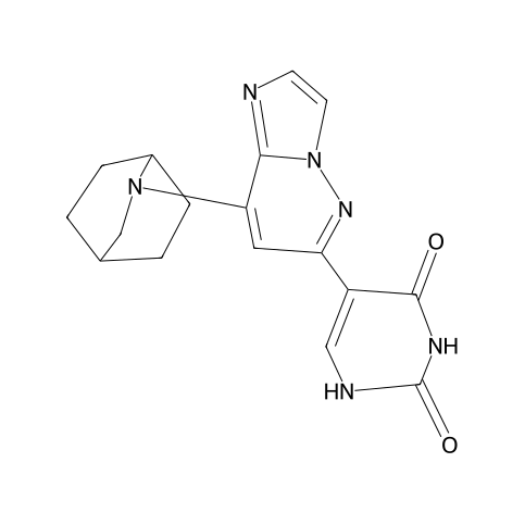 O=c1[nH]cc(-c2cc(N3CC4CCC3CC4)c3nccn3n2)c(=O)[nH]1